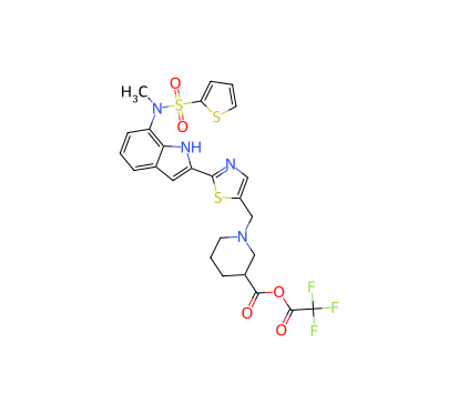 CN(c1cccc2cc(-c3ncc(CN4CCCC(C(=O)OC(=O)C(F)(F)F)C4)s3)[nH]c12)S(=O)(=O)c1cccs1